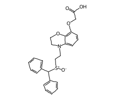 O=C(O)COc1cccc2c1OCCN2CC[S+]([O-])C(c1ccccc1)c1ccccc1